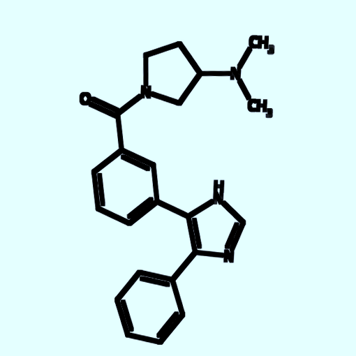 CN(C)C1CCN(C(=O)c2cccc(-c3[nH]cnc3-c3ccccc3)c2)C1